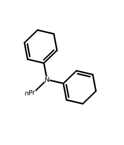 CCCN(C1=CCCC=C1)C1=CCCC=C1